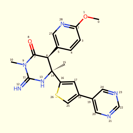 COc1ccc([C@@H]2C(=O)N(C)C(=N)N[C@]2(C)c2cc(-c3cncnc3)cs2)cn1